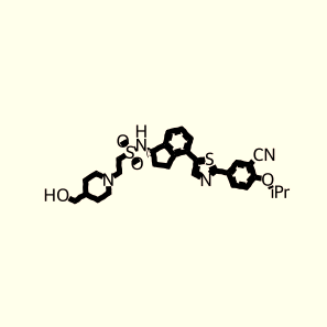 CC(C)Oc1ccc(-c2ncc(-c3cccc4c3CC[C@@H]4NS(=O)(=O)CCN3CCC(CO)CC3)s2)cc1C#N